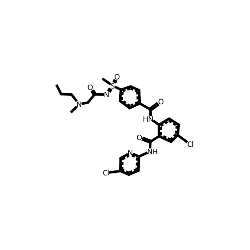 CCCN(C)CC(=O)N=S(C)(=O)c1ccc(C(=O)Nc2ccc(Cl)cc2C(=O)Nc2ccc(Cl)cn2)cc1